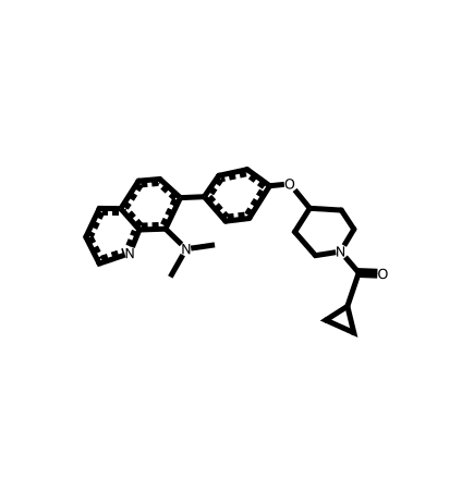 CN(C)c1c(-c2ccc(OC3CCN(C(=O)C4CC4)CC3)cc2)ccc2cccnc12